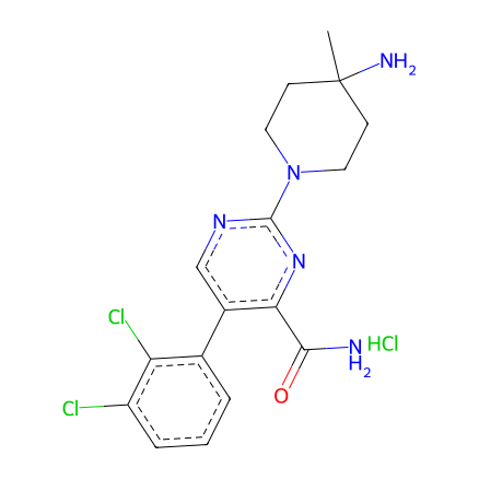 CC1(N)CCN(c2ncc(-c3cccc(Cl)c3Cl)c(C(N)=O)n2)CC1.Cl